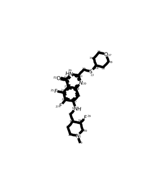 CN1CCC(CNc2cc3nc(CSC4CCOCC4)[nH]c(=O)c3c(F)c2F)C(F)C1